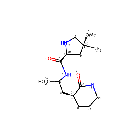 CO[C@]1(C(F)(F)F)CN[C@H](C(=O)NC(C[C@@H]2CCCNC2=O)C(=O)O)C1